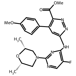 COC(=O)c1nnc(Nc2nc(N3C[C@@H](C)O[C@@H](C)C3)ncc2F)cc1-c1ccc(OC)cc1